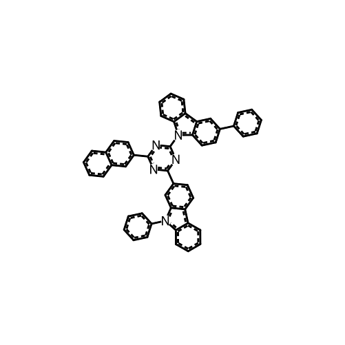 c1ccc(-c2ccc3c(c2)c2ccccc2n3-c2nc(-c3ccc4ccccc4c3)nc(-c3ccc4c5ccccc5n(-c5ccccc5)c4c3)n2)cc1